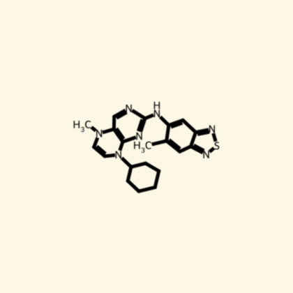 Cc1cc2nsnc2cc1Nc1ncc2c(n1)N(C1CCCCC1)C=CN2C